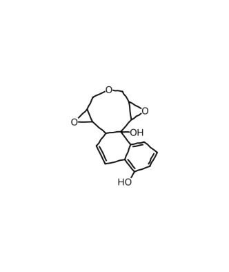 Oc1cccc2c1C=CC1C3OC3COCC3OC3C21O